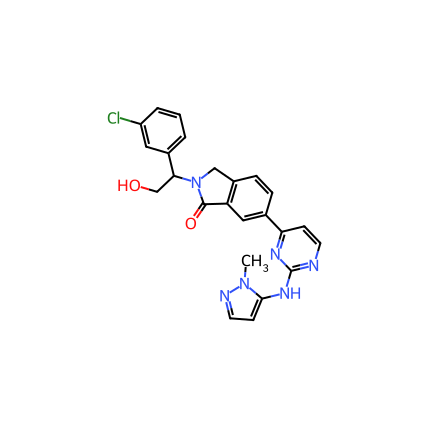 Cn1nccc1Nc1nccc(-c2ccc3c(c2)C(=O)N(C(CO)c2cccc(Cl)c2)C3)n1